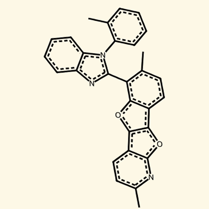 Cc1ccc2c(n1)oc1c3ccc(C)c(-c4nc5ccccc5n4-c4ccccc4C)c3oc21